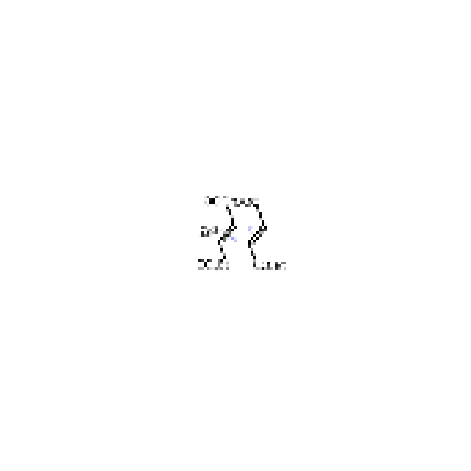 CCOC(=O)/C=C/C(=O)[O-].CCOC(=O)/C=C/C(=O)[O-].[Zn+2]